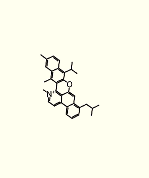 Cc1ccc2c(C(C)C)c3c(c(C)c2c1)-c1c2c(cc4c(CC(C)C)cccc4c2cc[n+]1C)O3